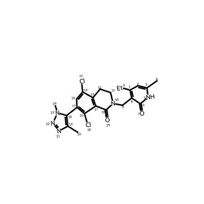 CCc1cc(C)[nH]c(=O)c1CN1CCc2c(Cl)cc(-c3c(C)nnn3C)c(Cl)c2C1=O